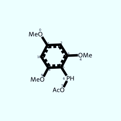 COc1cc(OC)c(POC(C)=O)c(OC)c1